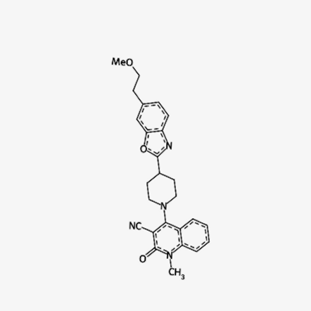 COCCc1ccc2nc(C3CCN(c4c(C#N)c(=O)n(C)c5ccccc45)CC3)oc2c1